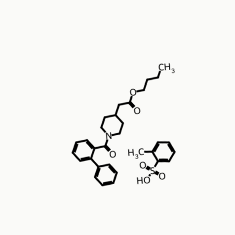 CCCCOC(=O)CC1CCN(C(=O)c2ccccc2-c2ccccc2)CC1.Cc1ccccc1S(=O)(=O)O